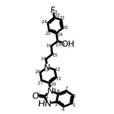 O=c1[nH]c2ccccc2n1C1=CCN(CCCC(O)c2ccc(F)cc2)CC1